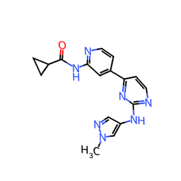 Cn1cc(Nc2nccc(-c3ccnc(NC(=O)C4CC4)c3)n2)cn1